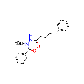 CC(C)(C)N(NC(=O)CCCCc1ccccc1)C(=O)c1ccccc1